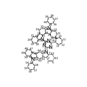 C1=Cc2c(n(-c3nc(-c4ccccc4)nc(-n4c5ccccc5c5ccc6c(c7ccccc7n6-c6ccccc6)c54)n3)c3cc4c5ccccc5n(-c5ccccc5)c4cc23)CC1